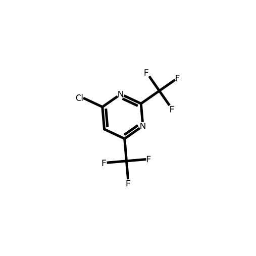 FC(F)(F)c1cc(Cl)nc(C(F)(F)F)n1